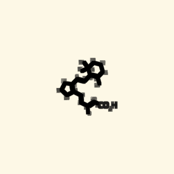 CC(C=CC1=C(C=CC2=C(C)CCCC2(C)C)CCC1)=CC(=O)O